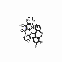 C=NC(=O)/C(O)=C1/C(=O)N2CCOCC2C(C2c3ccccc3SCc3c2ccc(F)c3F)N1OC